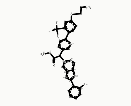 CCCOc1ccc(-c2ccc(C(C(=O)OC)n3cc4nc(-c5ccccc5F)nc-4cn3)cn2)c(C(F)(F)F)c1